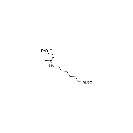 CCCCCCCCCCCCCCCCNC(C)=C(C)C(=O)OCC